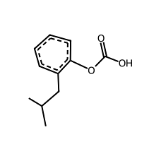 CC(C)Cc1ccccc1OC(=O)O